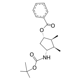 C[C@@H]1[C@H](C)[C@@H](OC(=O)c2ccccc2)C[C@H]1NC(=O)OC(C)(C)C